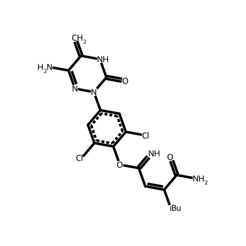 C=C1NC(=O)N(c2cc(Cl)c(OC(=N)/C=C(\C(N)=O)C(C)CC)c(Cl)c2)N=C1N